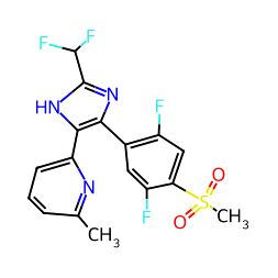 Cc1cccc(-c2[nH]c(C(F)F)nc2-c2cc(F)c(S(C)(=O)=O)cc2F)n1